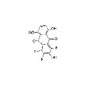 O=C1c2c(O)ccc(O)c2C(=O)c2c(F)c(F)c(O)c(F)c21